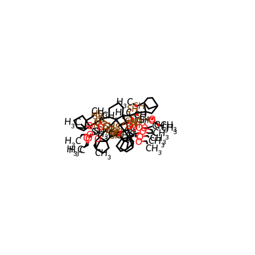 CCO[Si](OCC)(OCC)C1(C(S)(S)C(S)(S)C2CCCC(C(S)(S)C(S)(S)C3([Si](OCC)(OCC)OCC)CC4CCC3(CC)C4)(C(S)(S)C(S)(S)C3([Si](OCC)(OCC)OCC)CC4CCC3(CC)C4)C2(C(S)(S)C(S)(S)C2([Si](OCC)(OCC)OCC)CC3CCC2(CC)C3)C(S)(S)C(S)(S)C2([Si](OCC)(OCC)OCC)CC3CCC2(CC)C3)CC2CCC1(CC)C2